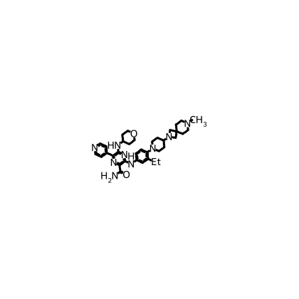 CCc1cc(Nc2nc(NC3CCOCC3)c(-c3ccncc3)nc2C(N)=O)ccc1N1CCC(N2CC3(CCN(C)CC3)C2)CC1